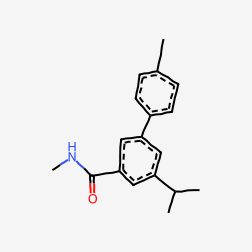 CNC(=O)c1cc(-c2ccc(C)cc2)cc(C(C)C)c1